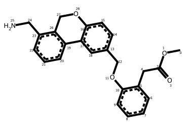 COC(=O)Cc1ccccc1OCc1ccc2c(c1)-c1cccc(CN)c1CO2